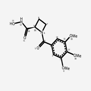 COc1cc(C(=O)N2CC[C@@H]2C(=O)NO)cc(OC)c1OC